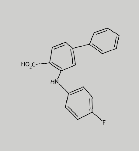 O=C(O)c1ccc(-c2ccccc2)cc1Nc1ccc(F)cc1